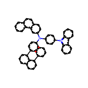 c1ccc(-c2cccc3cccc(-c4ccc(N(c5ccc(-n6c7ccccc7c7ccccc76)cc5)c5ccc6ccc7ccccc7c6c5)cc4)c23)cc1